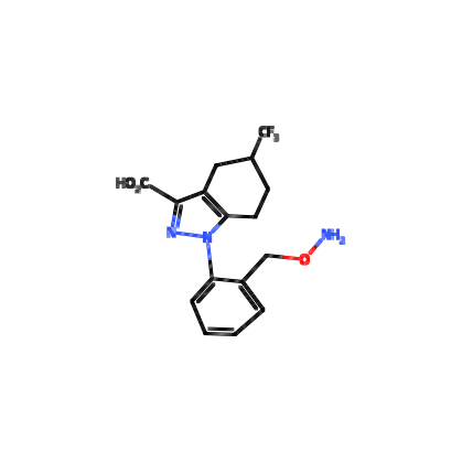 NOCc1ccccc1-n1nc(C(=O)O)c2c1CCC(C(F)(F)F)C2